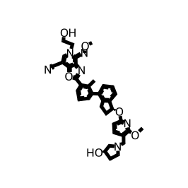 CO/N=c1/c2nc(-c3cccc(-c4cccc5c4CC[C@@H]5Oc4ccc(CN5CC[C@@H](O)C5)c(OC)n4)c3C)oc2c(C#N)cn1CCO